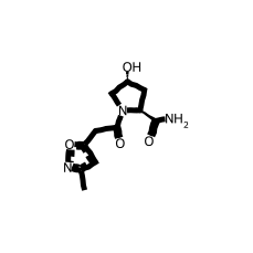 Cc1cc(CC(=O)N2C[C@H](O)C[C@H]2C(N)=O)on1